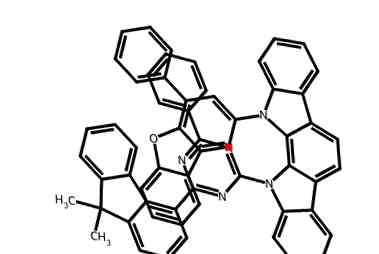 CC1(C)c2ccccc2-c2c(-c3nc(-c4ccccc4)nc(-n4c5ccccc5c5ccc6c7ccccc7n(-c7cc(-c8ccccc8)c8oc9ccccc9c8c7)c6c54)n3)cccc21